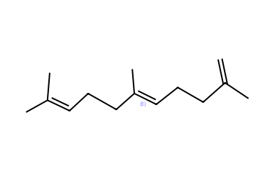 C=C(C)CC/C=C(\C)CCC=C(C)C